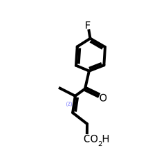 C/C(=C/CC(=O)O)C(=O)c1ccc(F)cc1